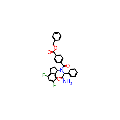 NC(=O)[C@@H](c1ccccc1)N(C(=O)c1ccc(C(=O)OCc2ccccc2)cc1)[C@@H]1CCc2c(F)cc(F)cc21